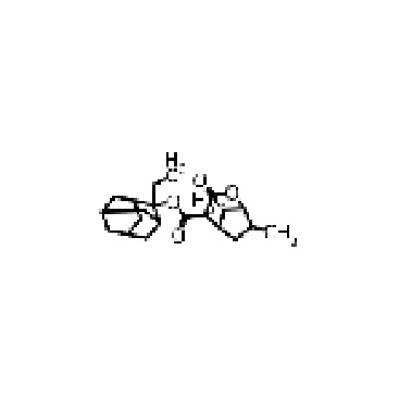 CCC1(OC(=O)C2C(=O)OC3C(C)CC2C3C)C2CC3CC(C2)CC1C3